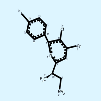 CC(C)c1cc([C@@H](CN)C(F)(F)F)nc(-c2ccc(I)cc2)c1Cl